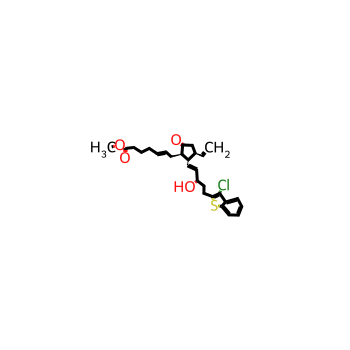 C=C[C@@H]1CC(=O)[C@H](CC=CCCCC(=O)OC)[C@H]1C=CC(O)CCc1sc2ccccc2c1Cl